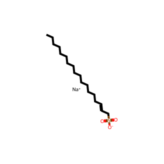 CCCCCCCCCCCCCCCC=CCS(=O)(=O)[O-].[Na+]